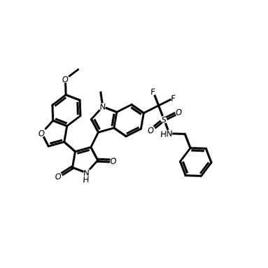 COc1ccc2c(C3=C(c4cn(C)c5cc(C(F)(F)S(=O)(=O)NCc6ccccc6)ccc45)C(=O)NC3=O)coc2c1